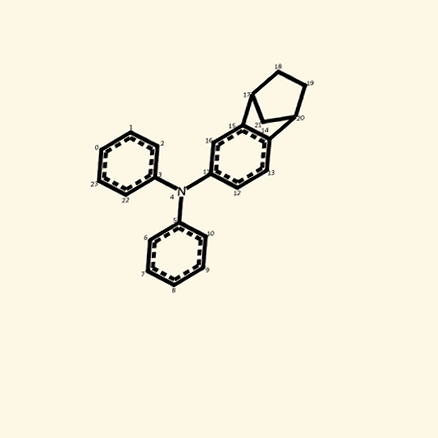 c1ccc(N(c2ccccc2)c2ccc3c(c2)C2CCC3C2)cc1